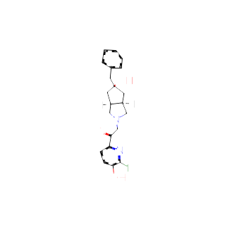 O=C(CN1C[C@@H]2C[C@](O)(Cc3ccccc3)C[C@@H]2C1)c1ccc(O)c(F)n1